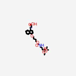 CCO[Si](CCCNC(=O)OCCCCOc1ccc(/C=C/C(=O)O)c2ccccc12)(OCC)OCC